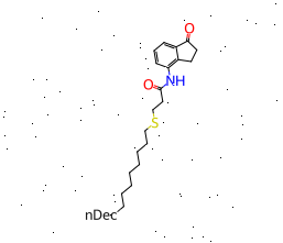 CCCCCCCCCCCCCCCCCCSCCC(=O)Nc1cccc2c1CCC2=O